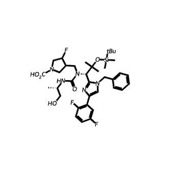 C[C@@H](CO)NC(=O)N(CC1CN(C(=O)O)CC1F)[C@@H](c1nc(-c2cc(F)ccc2F)cn1Cc1ccccc1)C(C)(C)O[Si](C)(C)C(C)(C)C